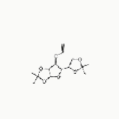 C=COC1C(C2COC(C)(C)O2)OC2OC(C)(C)OC21